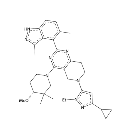 CCn1nc(C2CC2)cc1N1CCc2nc(-c3c(C)ccc4[nH]nc(C)c34)nc(N3CC[C@@H](OC)C(C)(C)C3)c2C1